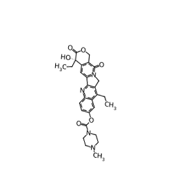 CCc1c2c(nc3ccc(OC(=O)N4CCN(C)CC4)cc13)-c1cc3c(c(=O)n1C2)COC(=O)[C@]3(O)CC